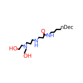 CCCCCCCCCCCCCCNC(=O)CCNCCCN(CCO)CCO